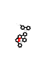 N#Cc1ccc2c(c1)c1ccccc1n2-c1cccc(-c2cccc(C#N)c2-c2ccccc2-n2c3ccccc3c3ccccc32)c1